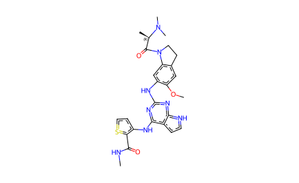 CNC(=O)c1sccc1Nc1nc(Nc2cc3c(cc2OC)CCN3C(=O)[C@@H](C)N(C)C)nc2[nH]ccc12